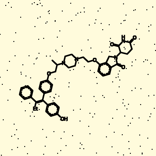 CCC(=C(c1ccc(O)cc1)c1ccc(OCC(C)N2CCN(CCOc3cccc4c3CN(C3CCC(=O)NC3=O)C4=O)CC2)cc1)c1ccccc1